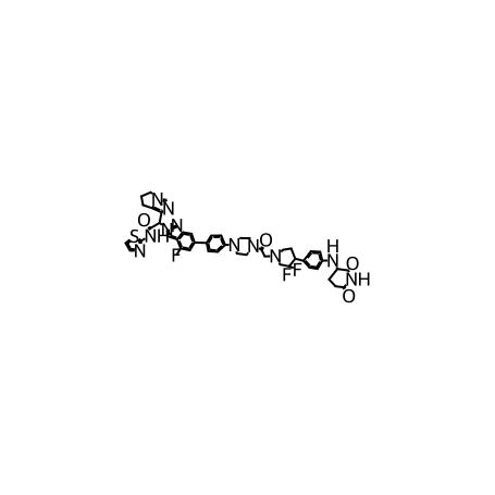 O=C1CCC(Nc2ccc(C3CCN(CC(=O)N4CCN(c5ccc(-c6cc(F)c7cn(C(C(=O)Nc8nccs8)c8ncn9c8CCC9)nc7c6)cc5)CC4)CC3(F)F)cc2)C(=O)N1